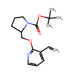 C=Cc1cccnc1OCC1CCCN1C(=O)OC(C)(C)C